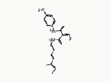 C=C(N/C=C/C=C/C(C)=C/C)/C(=C\F)C(=C)Nc1ccc(S)cc1